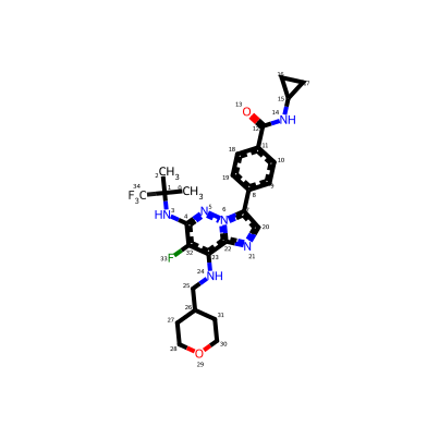 CC(C)(Nc1nn2c(-c3ccc(C(=O)NC4CC4)cc3)cnc2c(NCC2CCOCC2)c1F)C(F)(F)F